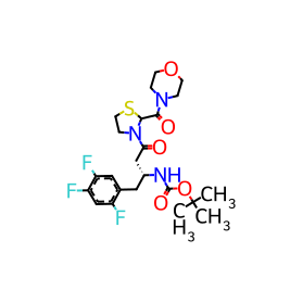 CC(C)(C)OC(=O)N[C@@H](CC(=O)N1CCSC1C(=O)N1CCOCC1)Cc1cc(F)c(F)cc1F